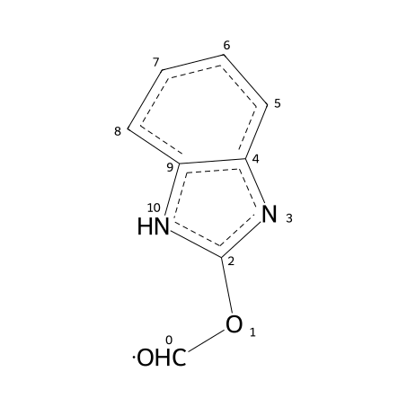 O=[C]Oc1nc2ccccc2[nH]1